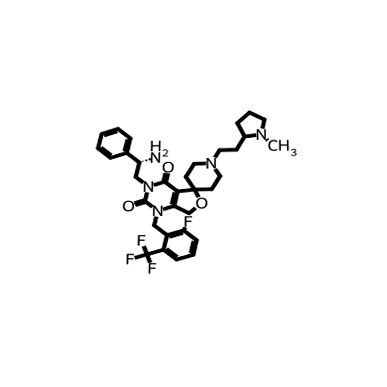 CN1CCCC1CCN1CCC2(CC1)OCc1c2c(=O)n(C[C@@H](N)c2ccccc2)c(=O)n1Cc1c(F)cccc1C(F)(F)F